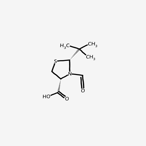 CC(C)(C)[C@H]1SC[C@@H](C(=O)O)N1C=O